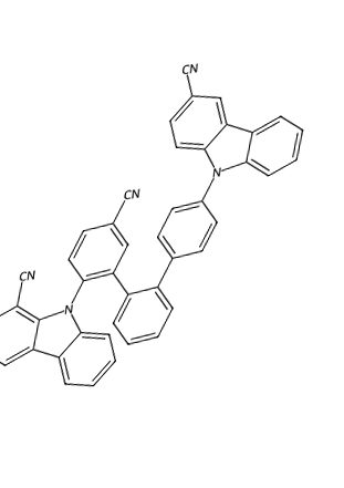 N#Cc1ccc(-n2c3ccccc3c3cccc(C#N)c32)c(-c2ccccc2-c2ccc(-n3c4ccccc4c4cc(C#N)ccc43)cc2)c1